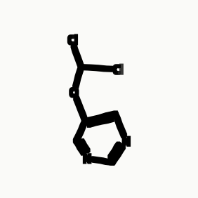 ClC(Cl)Oc1cncnc1